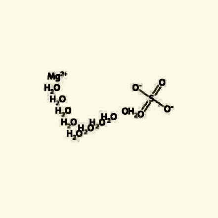 O.O.O.O.O.O.O.O.O.O=S(=O)([O-])[O-].[Mg+2]